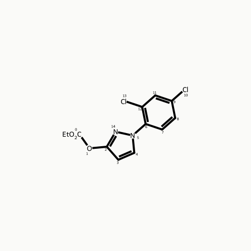 CCOC(=O)Oc1ccn(-c2ccc(Cl)cc2Cl)n1